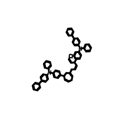 C/C=C\C(/C=C\CC1=CCC=CC(c2ccc(N(c3ccccc3)c3ccc(-c4ccccc4)cc3)cc2)C1)c1ccc(N(c2ccccc2)c2ccc(-c3ccccc3)cc2)cc1